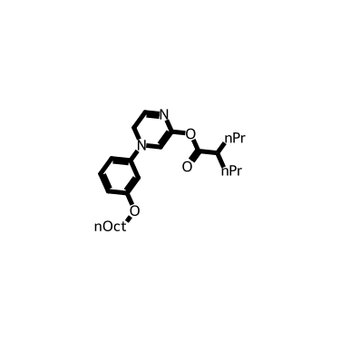 CCCCCCCCOc1cccc(N2C=C(OC(=O)C(CCC)CCC)N=CC2)c1